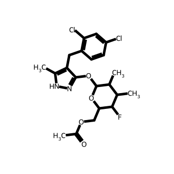 CC(=O)OCC1OC(Oc2n[nH]c(C)c2Cc2ccc(Cl)cc2Cl)C(C)C(C)C1F